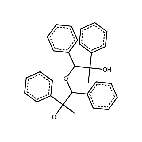 CC(O)(c1ccccc1)C(OC(c1ccccc1)C(C)(O)c1ccccc1)c1ccccc1